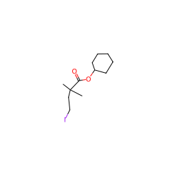 CC(C)(CCI)C(=O)OC1CCCCC1